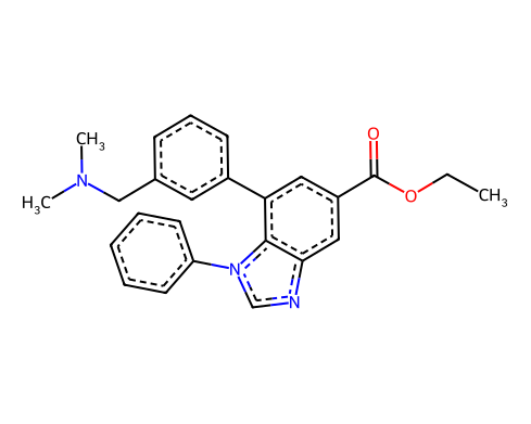 CCOC(=O)c1cc(-c2cccc(CN(C)C)c2)c2c(c1)ncn2-c1ccccc1